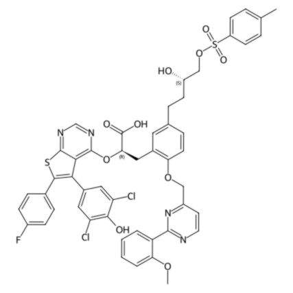 COc1ccccc1-c1nccc(COc2ccc(CC[C@H](O)COS(=O)(=O)c3ccc(C)cc3)cc2C[C@@H](Oc2ncnc3sc(-c4ccc(F)cc4)c(-c4cc(Cl)c(O)c(Cl)c4)c23)C(=O)O)n1